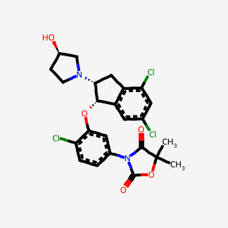 CC1(C)OC(=O)N(c2ccc(Cl)c(O[C@H]3c4cc(Cl)cc(Cl)c4C[C@H]3N3CC[C@@H](O)C3)c2)C1=O